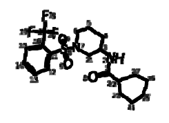 O=C(NC1CCCN(S(=O)(=O)c2ccccc2C(F)(F)F)C1)C1CCCCC1